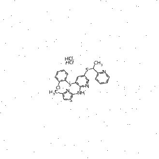 Cc1csc(Nc2ncc(SC(C)c3ccccn3)cc2Sc2ccccc2Cl)n1.Cl.Cl